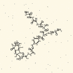 CC1=C2C(=C[C@@](C)(CO)[C@@H]2OC(=O)N(C)CCN(C)C(=O)OCc2ccc(NC(=O)[C@H](CCCNC(N)=O)NC(=O)[C@@H](NC(=O)CNC(=O)CNC(=O)CN)C(C)C)cc2)C(=O)[C@](C)(O)C12CC2